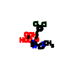 CN1CCC=C(c2nsnc2OCCCc2ccc(Cl)c(Cl)c2)C1.O=C(O)C(=O)O